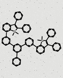 C[Si]1(C)C(c2ccccc2)=C(c2ccccc2)c2cccc(-c3cccc(-c4cc(-c5ccccc5)cc(-c5cccc(-c6cccc7c6[Si](C)(C)C(c6ccccc6)=C7c6ccccc6)c5)c4)c3)c21